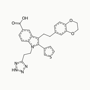 O=C(O)c1ccc2c(c1)c(CCc1ccc3c(c1)OCCO3)c(-c1ccsc1)n2CCc1nn[nH]n1